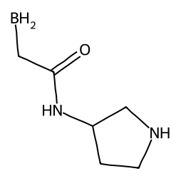 BCC(=O)NC1CCNC1